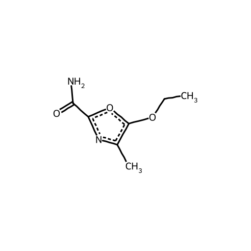 CCOc1oc(C(N)=O)nc1C